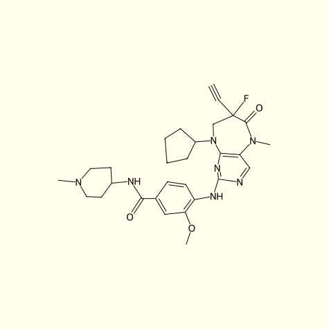 C#CC1(F)CN(C2CCCC2)c2nc(Nc3ccc(C(=O)NC4CCN(C)CC4)cc3OC)ncc2N(C)C1=O